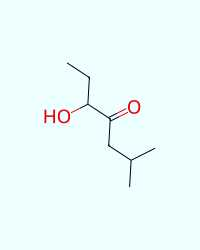 CCC(O)C(=O)CC(C)C